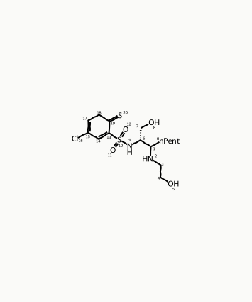 CCCCCC(NCCO)[C@@H](CO)NS(=O)(=O)C1=CC(Cl)=CCC1=S